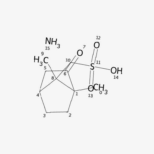 CC12CCC(CC1=O)C2(C)CS(=O)(=O)O.N